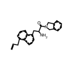 C=CCc1cccc2c(CC(N)C(=O)N3Cc4ccccc4C3)cccc12